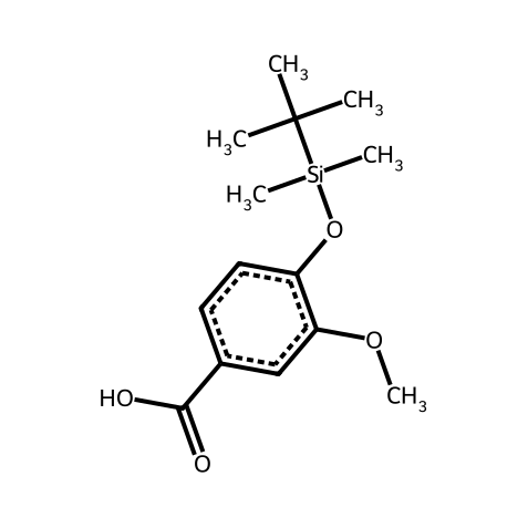 COc1cc(C(=O)O)ccc1O[Si](C)(C)C(C)(C)C